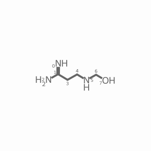 N=C(N)CCNCO